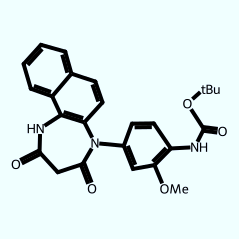 COc1cc(N2C(=O)CC(=O)Nc3c2ccc2ccccc32)ccc1NC(=O)OC(C)(C)C